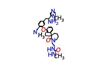 CCC1(c2cccc(Oc3cc(CC(N)c4cncn4C)ccc3C#N)c2)CCCCN(CCNC(=O)NC)C1=O